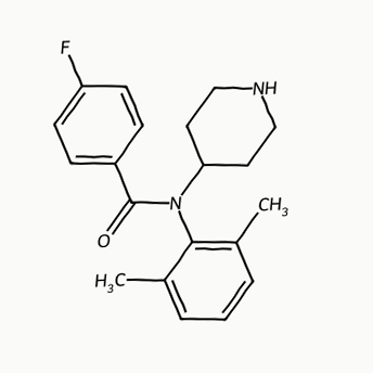 Cc1cccc(C)c1N(C(=O)c1ccc(F)cc1)C1CCNCC1